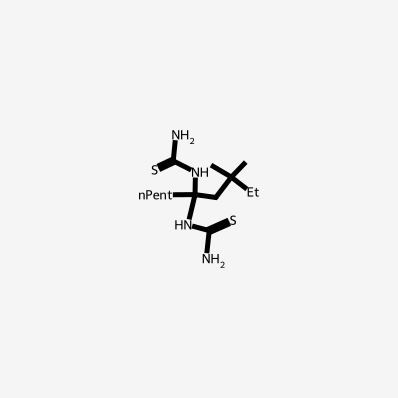 CCCCCC(CC(C)(C)CC)(NC(N)=S)NC(N)=S